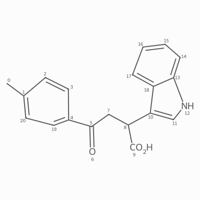 Cc1ccc(C(=O)CC(C(=O)O)c2c[nH]c3ccccc23)cc1